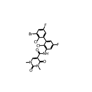 Cn1cc(C(=O)Nc2cc(F)cc(-c3cc(F)cc(Br)c3Cl)c2Cl)c(=O)n(C)c1=O